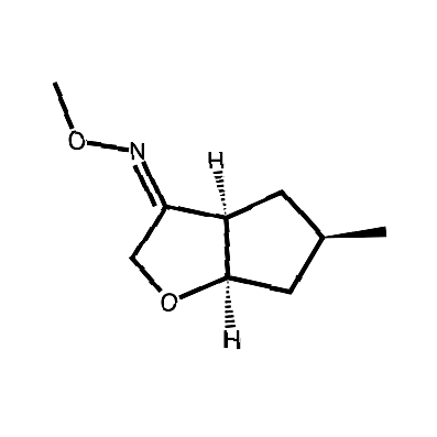 CON=C1CO[C@@H]2C[C@H](C)C[C@H]12